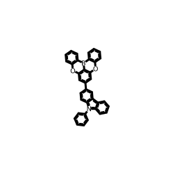 c1ccc(-n2c3ccccc3c3cc(-c4cc5c6c(c4)Oc4ccccc4B6c4ccccc4O5)ccc32)cc1